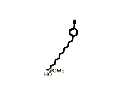 C#Cc1ccc(CCCCCCCCCC[Si](C)(O)OC)cc1